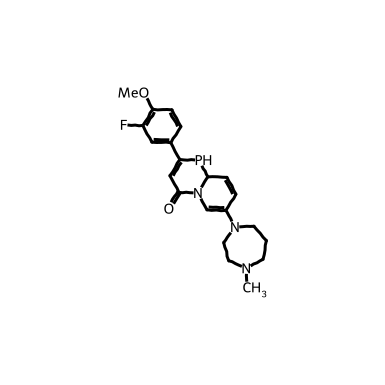 COc1ccc(C2=CC(=O)N3C=C(N4CCCN(C)CC4)C=CC3P2)cc1F